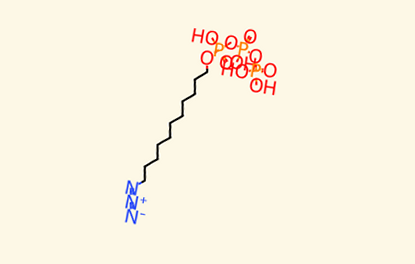 [N-]=[N+]=NCCCCCCCCCCCOP(=O)(O)OP(=O)(O)OP(=O)(O)O